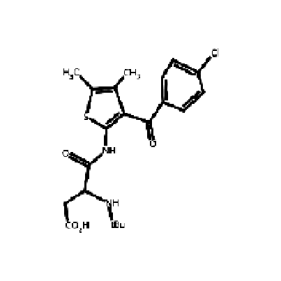 Cc1sc(NC(=O)C(CC(=O)O)NC(C)(C)C)c(C(=O)c2ccc(Cl)cc2)c1C